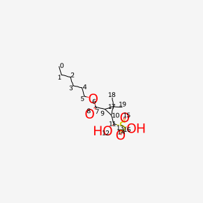 CCCCCCOC(=O)C1C(C(O)S(=O)(=O)O)C1(C)C